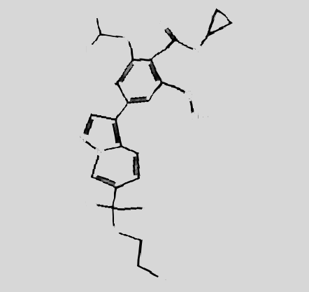 COc1cc(-c2cnn3cc(C(C)(C)OCCO)ccc23)cc(OC(F)F)c1C(=O)NC1CC1